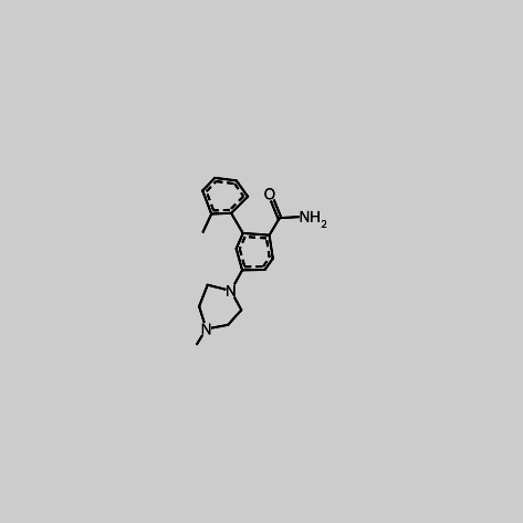 Cc1ccccc1-c1cc(N2CCN(C)CC2)ccc1C(N)=O